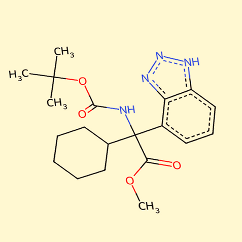 COC(=O)C(NC(=O)OC(C)(C)C)(c1cccc2[nH]nnc12)C1CCCCC1